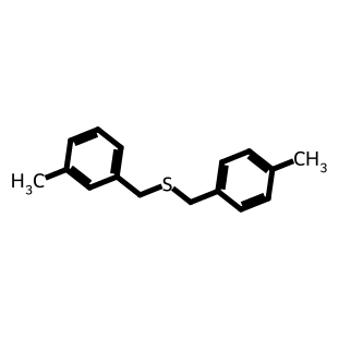 Cc1ccc(CSCc2cccc(C)c2)cc1